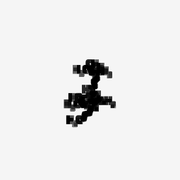 CCCCc1nc2c(N)nc(NCCCN(C)CC(C)(C)C)nc2n1CC(C)(C)O